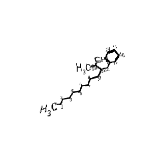 CCCCCCCCCCC(Cc1ccccc1)[C](C)C